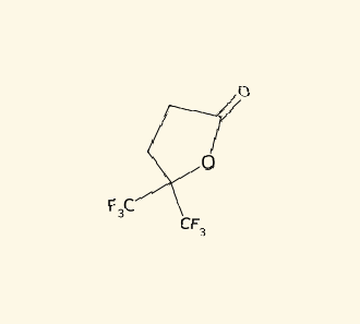 O=C1CCC(C(F)(F)F)(C(F)(F)F)O1